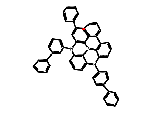 c1ccc(-c2ccc(N3c4cccc(-c5ccccc5)c4B4c5ccc(-c6ccccc6)cc5N(c5cccc(-c6ccccc6)c5)c5cccc3c54)cc2)cc1